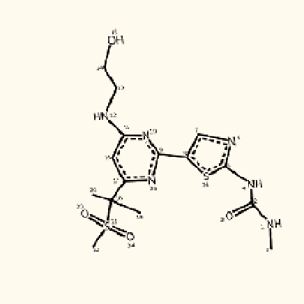 CNC(=O)Nc1ncc(-c2nc(NCCO)cc(C(C)(C)S(C)(=O)=O)n2)s1